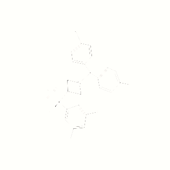 C[C@](c1cc(F)cc(F)c1)(C1CN(C(c2ccc(Cl)cc2)c2ccc(Cl)cc2)C1)S(C)(=O)=O